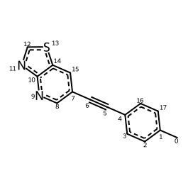 Cc1ccc(C#Cc2cnc3ncsc3c2)cc1